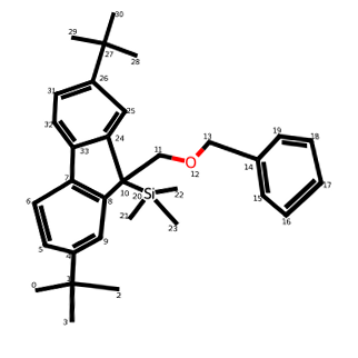 CC(C)(C)c1ccc2c(c1)C(COCc1ccccc1)([Si](C)(C)C)c1cc(C(C)(C)C)ccc1-2